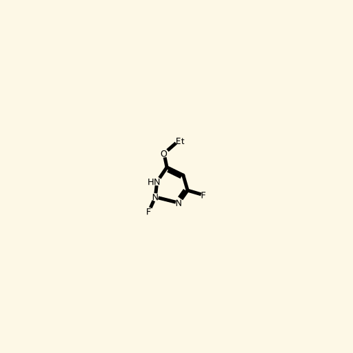 CCOC1=CC(F)=NN(F)N1